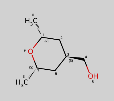 C[C@@H]1C[C@@H](CO)C[C@H](C)O1